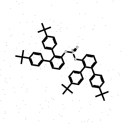 CC(C)(C)c1ccc(-c2cccc(O[PH](=O)Oc3cccc(-c4ccc(C(C)(C)C)cc4)c3-c3ccc(C(C)(C)C)cc3)c2-c2ccc(C(C)(C)C)cc2)cc1